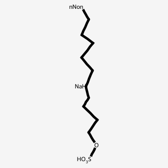 CCCCCCCCCCCCCCCCCCCOS(=O)(=O)O.[NaH]